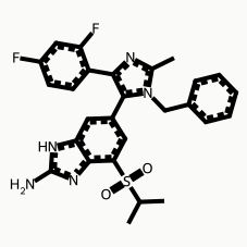 Cc1nc(-c2ccc(F)cc2F)c(-c2cc(S(=O)(=O)C(C)C)c3nc(N)[nH]c3c2)n1Cc1ccccc1